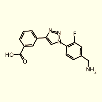 NCc1ccc(-n2cc(-c3cccc(C(=O)O)c3)nn2)c(F)c1